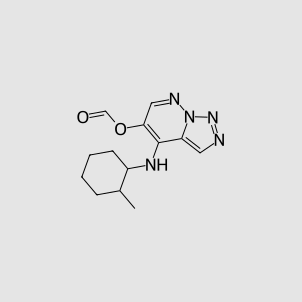 CC1CCCCC1Nc1c(OC=O)cnn2nncc12